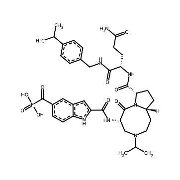 CC(C)c1ccc(CNC(=O)[C@H](CCC(N)=O)NC(=O)[C@@H]2CC[C@@H]3CCN(C(C)C)C[C@H](NC(=O)c4cc5cc(C(=O)P(=O)(O)O)ccc5[nH]4)C(=O)N32)cc1